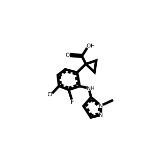 Cn1nccc1Nc1c(C2(C(=O)O)CC2)ccc(Cl)c1F